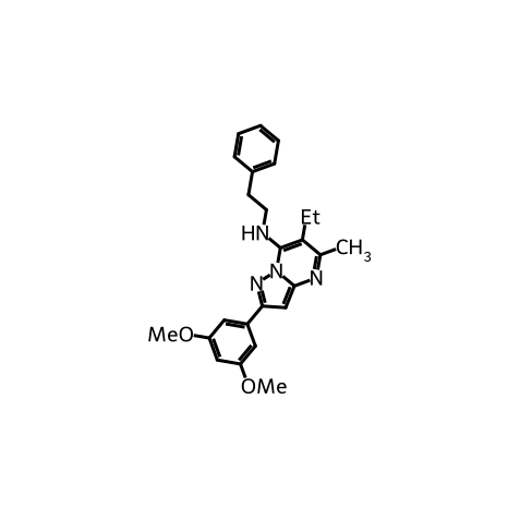 CCc1c(C)nc2cc(-c3cc(OC)cc(OC)c3)nn2c1NCCc1ccccc1